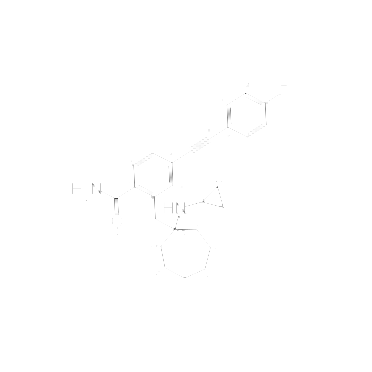 NC(=O)c1ccc(C#Cc2ccc(F)cc2)cc1CC1(NC2CC2)CCCCCC1